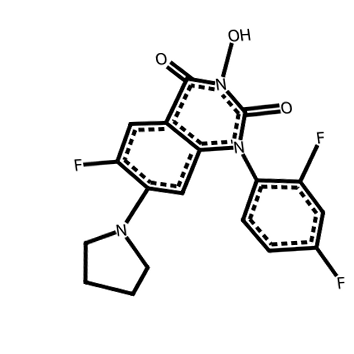 O=c1c2cc(F)c(N3CCCC3)cc2n(-c2ccc(F)cc2F)c(=O)n1O